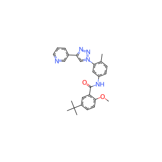 COc1ccc(C(C)(C)C)cc1C(=O)Nc1ccc(C)c(-n2cc(-c3cccnc3)nn2)c1